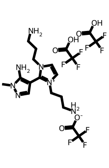 Cn1ncc(-c2n(CCCN)cc[n+]2CCCN)c1N.O=C(O)C(F)(F)F.O=C(O)C(F)(F)F.O=C([O-])C(F)(F)F